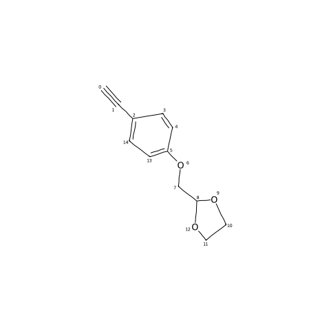 C#Cc1ccc(OCC2OCCO2)cc1